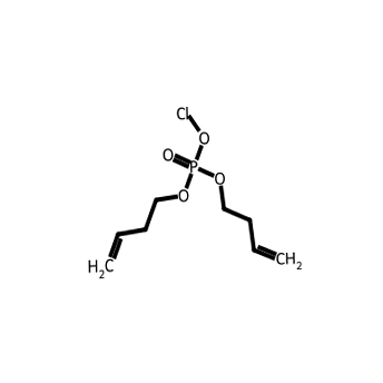 C=CCCOP(=O)(OCl)OCCC=C